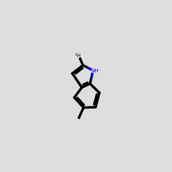 [2H]c1cc2cc(C)ccc2[nH]1